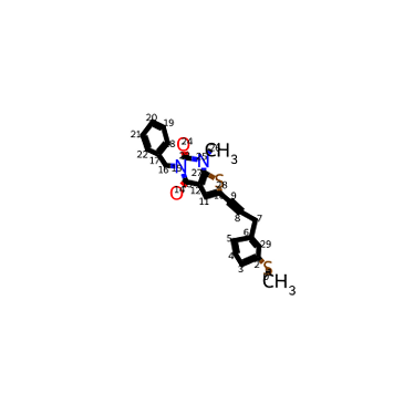 CSc1cccc(CC#Cc2cc3c(=O)n(Cc4ccccc4)c(=O)n(C)c3s2)c1